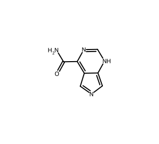 NC(=O)c1nc[nH]c2cncc1-2